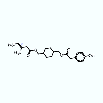 C/C=C(\C)CC(=O)OCC1CCC(COC(=O)Cc2ccc(O)cc2)CC1